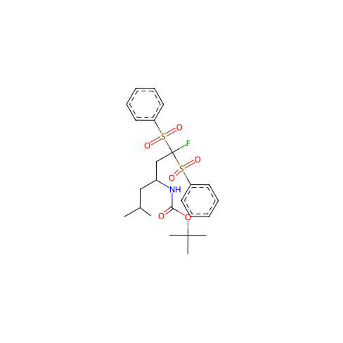 CC(C)CC(CC(F)(S(=O)(=O)c1ccccc1)S(=O)(=O)c1ccccc1)NC(=O)OC(C)(C)C